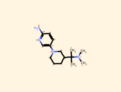 CN(C)C(C)(C)C1CCCN(c2ccc(N)nc2)C1